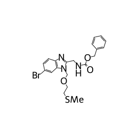 CSCCOCn1c(CNC(=O)OCc2ccccc2)nc2ccc(Br)cc21